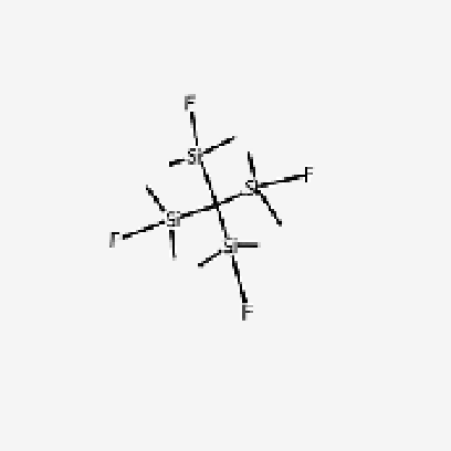 C[Si](C)(F)C([Si](C)(C)F)([Si](C)(C)F)[Si](C)(C)F